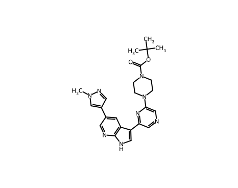 Cn1cc(-c2cnc3[nH]cc(-c4cncc(N5CCN(C(=O)OC(C)(C)C)CC5)n4)c3c2)cn1